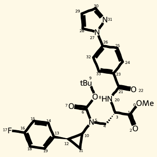 COC(=O)[C@H](CN(C(=O)OC(C)(C)C)C1C[C@H]1c1ccc(F)cc1)NC(=O)c1ccc(-n2cccn2)cc1